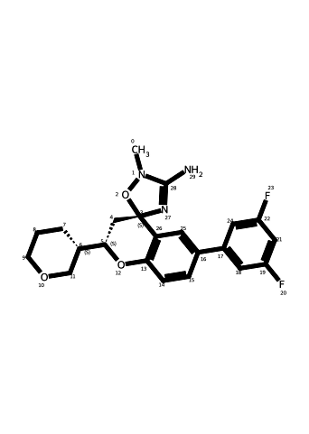 CN1O[C@]2(C[C@@H]([C@H]3CCCOC3)Oc3ccc(-c4cc(F)cc(F)c4)cc32)N=C1N